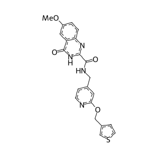 COc1ccc2nc(C(=O)NCc3ccnc(OCc4ccsc4)c3)[nH]c(=O)c2c1